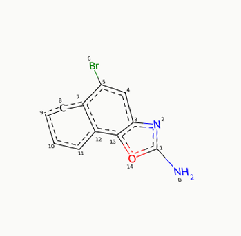 Nc1nc2cc(Br)c3ccccc3c2o1